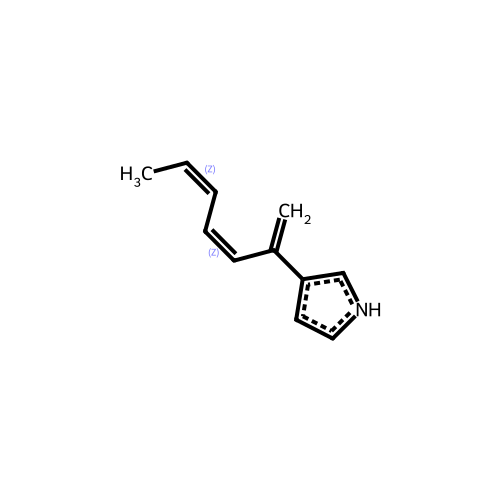 C=C(/C=C\C=C/C)c1cc[nH]c1